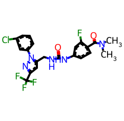 CN(C)C(=O)c1ccc(NC(=O)NCc2cc(C(F)(F)F)nn2-c2cccc(Cl)c2)cc1F